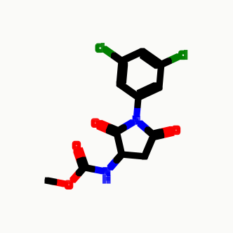 COC(=O)NC1CC(=O)N(c2cc(Cl)cc(Cl)c2)C1=O